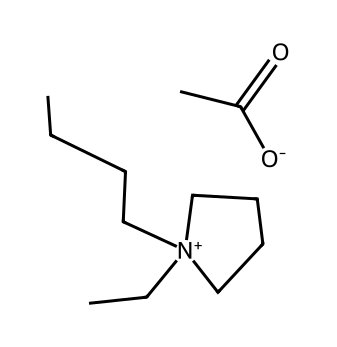 CC(=O)[O-].CCCC[N+]1(CC)CCCC1